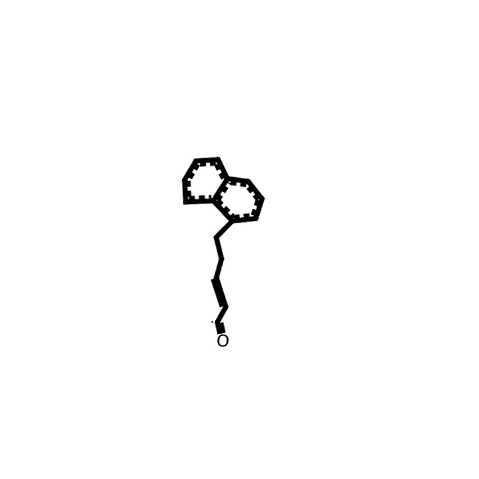 O=[C]C=CCCc1cccc2ccccc12